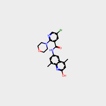 Cc1cc(O)nc2c(C)cc(NC(=O)c3cc(Br)cnc3N3CCOCC3)cc12